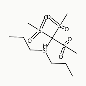 CCC[SiH](CCC)C(S(C)(=O)=O)(S(C)(=O)=O)S(C)(=O)=O